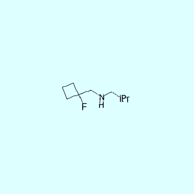 CC(C)CNCC1(F)CCC1